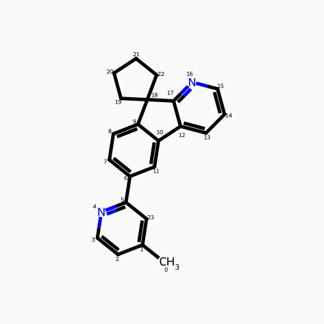 Cc1ccnc(-c2ccc3c(c2)-c2cccnc2C32CCCC2)c1